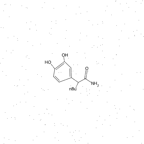 CCCCC(C(N)=O)c1ccc(O)c(O)c1